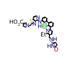 CCc1nc(-c2cccc(-c3cccc(Nc4nccc5sc(CN6CC[C@@H](C(=O)O)C6)nc45)c3Cl)c2Cl)ccc1CNC[C@@H]1CCC(=O)N1